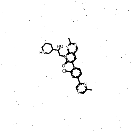 Cc1cncc(-c2ccc(-c3cc4cnc(C)nc4n(CC(O)C4CCCNC4)c3=O)c(Cl)c2)n1